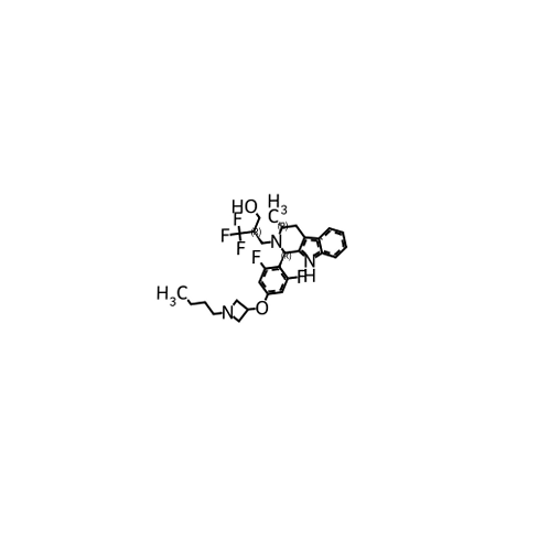 CCCCN1CC(Oc2cc(F)c([C@@H]3c4[nH]c5ccccc5c4C[C@@H](C)N3C[C@H](CO)C(F)(F)F)c(F)c2)C1